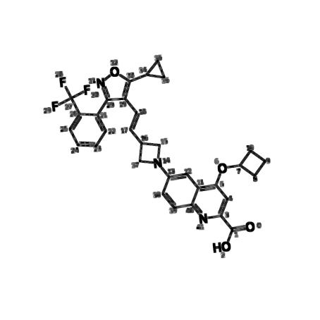 O=C(O)c1cc(OC2CCC2)c2cc(N3CC(C=Cc4c(-c5ccccc5C(F)(F)F)noc4C4CC4)C3)ccc2n1